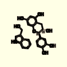 OCc1c[nH]c2ccccc12.Oc1cc(O)c2c(c1)O[C@H](c1ccc(O)c(O)c1)[C@@H](O)C2